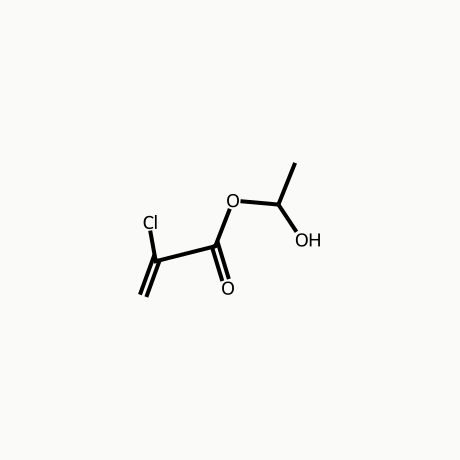 C=C(Cl)C(=O)OC(C)O